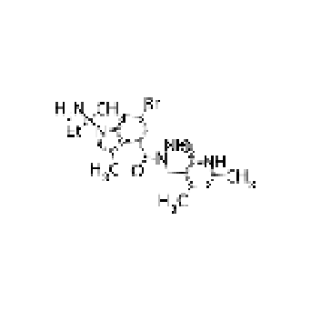 CC[C@](C)(N)n1cc(C)c2c(C(=O)N(N)Cc3c(C)cc(C)[nH]c3=O)cc(Br)cc21